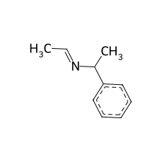 CC=NC(C)c1ccccc1